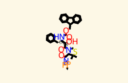 CC1(C)SCN(C(=O)[C@@H](O)[C@H](Cc2ccccc2)NC(=O)OCC2c3ccccc3-c3ccccc32)C1C(=O)n1p2p1C2